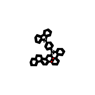 c1ccc(-c2ccccc2N(c2ccc(-n3c4ccccc4c4ccccc43)cc2)c2ccc3ccc4c5ccccc5ccc4c3c2)cc1